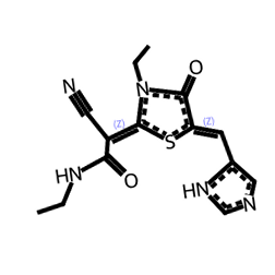 CCNC(=O)/C(C#N)=c1\s/c(=C\c2cnc[nH]2)c(=O)n1CC